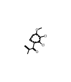 C=C(C)C(=O)c1ccc(OC)c(Cl)c1Cl